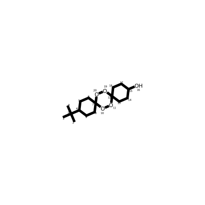 CC(C)(C)C1CCC2(CC1)OOC1(CCC(O)CC1)OO2